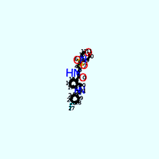 O=C(NCCS(=O)(=O)N1CCOCC1)c1cccc2c1cnn2-c1ccc(F)cc1